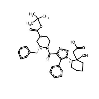 CC(C)(C)OC(=O)N1CCN(C(=O)c2ncn([C@H]3CCCCC3(O)CC(=O)O)c2-c2ccccc2)[C@H](Cc2ccccc2)C1